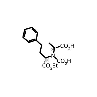 CCOC(=O)[C@H](CCc1ccccc1)N(C(=O)O)[C@@H](C)C(=O)O